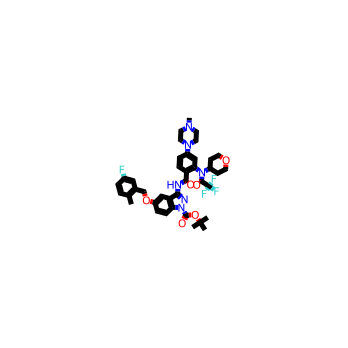 Cc1ccc(F)cc1COc1ccc2c(c1)c(NC(=O)c1ccc(N3CCN(C)CC3)cc1N(C(=O)C(F)(F)F)C1CCOCC1)nn2C(=O)OC(C)(C)C